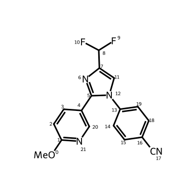 COc1ccc(-c2nc(C(F)F)cn2-c2ccc(C#N)cc2)cn1